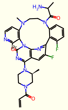 C=CC(=O)N1CCN(c2nc(=O)n3c4nc(c(F)cc24)-c2c(F)cccc2N(C(=O)C(C)N)CCN(C)c2ccnc(C(C)C)c2-3)[C@@H](C)C1